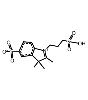 CC1=[N+](CCCS(=O)(=O)O)c2ccc(S(=O)(=O)[O-])cc2C1(C)C